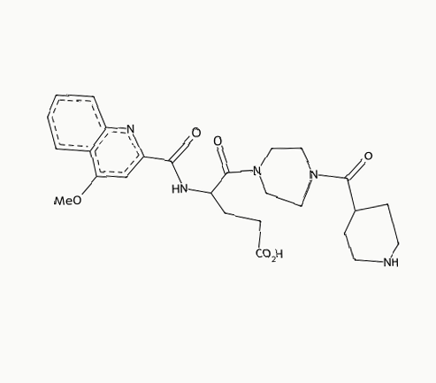 COc1cc(C(=O)NC(CCC(=O)O)C(=O)N2CCN(C(=O)C3CCNCC3)CC2)nc2ccccc12